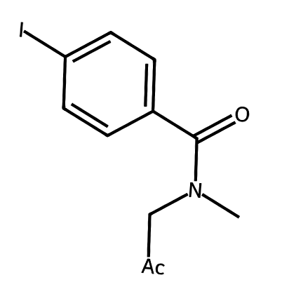 CC(=O)CN(C)C(=O)c1ccc(I)cc1